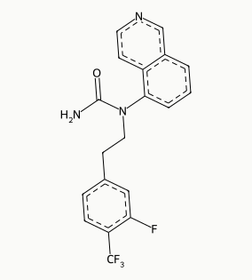 NC(=O)N(CCc1ccc(C(F)(F)F)c(F)c1)c1cccc2cnccc12